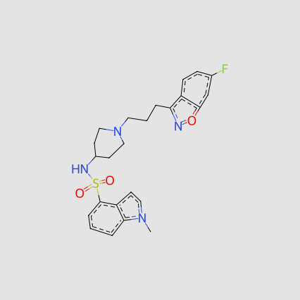 Cn1ccc2c(S(=O)(=O)NC3CCN(CCCc4noc5cc(F)ccc45)CC3)cccc21